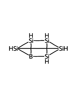 B12[SiH]3[SiH]1[SiH]1[SiH]2[SiH]31